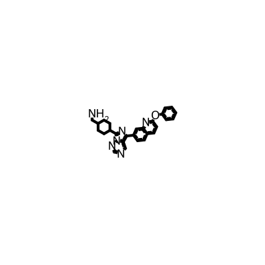 NCC1CCC(c2nc(-c3ccc4ccc(Oc5ccccc5)nc4c3)c3cncnn23)CC1